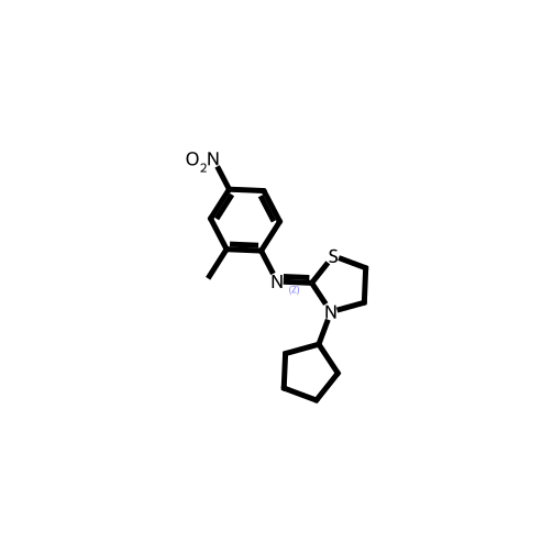 Cc1cc([N+](=O)[O-])ccc1/N=C1\SCCN1C1CCCC1